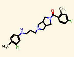 Cc1ccc(NCCCN2CC3CN(C(=O)c4ccc(F)cc4C(F)(F)F)CC3C2)cc1Cl